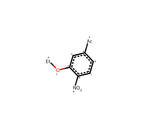 CCOc1cc(C(C)=O)ccc1[N+](=O)[O-]